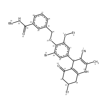 CCOc1cc(C2C(C#N)=C(C)NC3=C2C(=O)CC(CC)C3)cc(Br)c1OCc1cccc(C(=O)NC(C)(C)C)c1